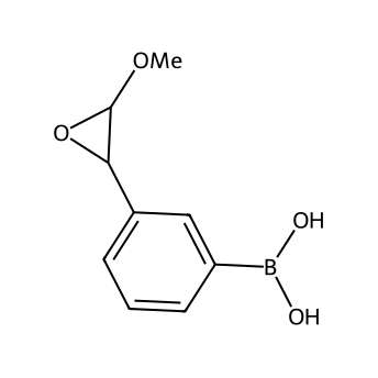 COC1OC1c1cccc(B(O)O)c1